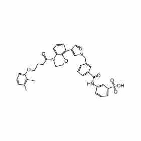 Cc1cccc(OCCCC(=O)N2CCOc3c(-c4cnn(Cc5cccc(C(=O)Nc6cccc(S(=O)(=O)O)c6)c5)c4)cccc32)c1C